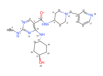 CCCCNc1ncc(C(=O)NC2CCN(Cc3cccnc3)CC2)c(N[C@H]2CC[C@H](O)CC2)n1